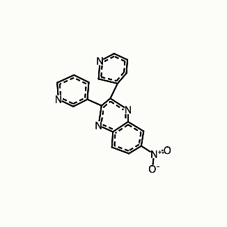 O=[N+]([O-])c1ccc2nc(-c3cccnc3)c(-c3cccnc3)nc2c1